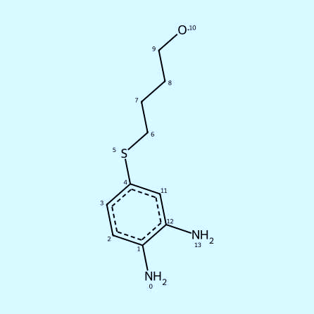 Nc1ccc(SCCCC[O])cc1N